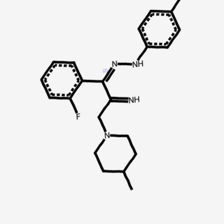 CC1CCN(CC(=N)/C(=N\Nc2ccc(Cl)cc2)c2ccccc2F)CC1